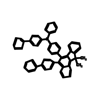 CC1(C)c2ccccc2-c2c(-c3ccc(N(c4ccccc4)c4ccc(-c5ccccc5)cc4)cc3)c(-c3ccc(-c4ccccc4)cc3)c3ccccc3c21